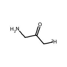 [2H]CC(=O)CN